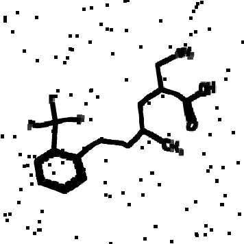 CC(CCc1ccccc1C(F)(F)F)CC(CN)C(=O)O